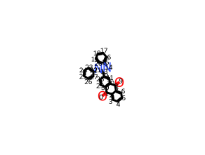 O=C1c2ccccc2C(=O)c2cc(-c3nc4ccccc4n3-c3ccccc3)ccc21